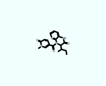 CCC(C)C1C(=O)Nc2cccnc2N1C(=O)c1ccc(=O)n(C)c1